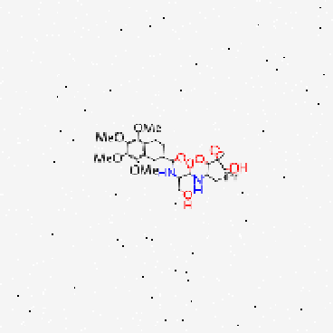 COc1c2c(c(OC)c(OC)c1OC)CC(C(=O)NC(CO)C(=O)NC(CC(C)C)C(=O)C1(CO)CO1)CC2